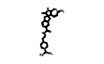 C=C/C=C\C1=C(N)NC(=O)C12Cc1cnc(C(=O)NCCC3CCN(C(C)C)CC3)cc1C2